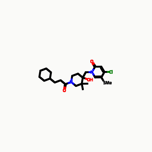 CSc1cn(CC2(O)CCN(C(=O)CCC3CCCCC3)CC2(C)C)c(=O)cc1Cl